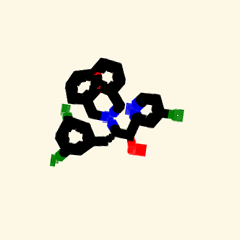 O[C@H](c1cc(Cl)ccn1)[C@H](Cc1cc(F)cc(F)c1)N(Cc1ccccc1)Cc1ccccc1